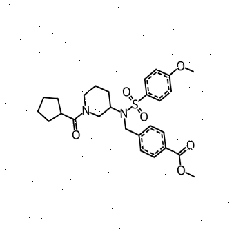 COC(=O)c1ccc(CN(C2CCCN(C(=O)C3CCCC3)C2)S(=O)(=O)c2ccc(OC)cc2)cc1